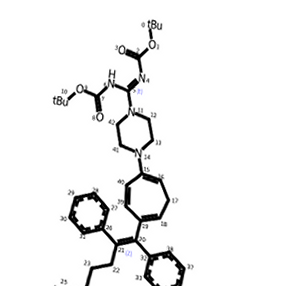 CC(C)(C)OC(=O)/N=C(\NC(=O)OC(C)(C)C)N1CCN(C2=CCC=C(/C(=C(/CCCO)c3ccccc3)c3ccc(O)cc3)C=C2)CC1